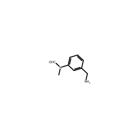 CN([C]=O)c1cccc(CN)c1